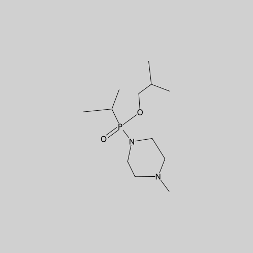 CC(C)COP(=O)(C(C)C)N1CCN(C)CC1